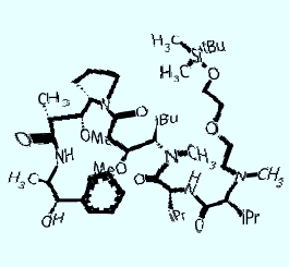 CC[C@H](C)[C@@H]([C@H](CC(=O)N1CCC[C@H]1[C@H](OC)[C@@H](C)C(=O)N[C@H](C)[C@H](O)c1ccccc1)OC)N(C)C(=O)[C@@H](NC(=O)[C@H](C(C)C)N(C)CCOCCO[Si](C)(C)C(C)(C)C)C(C)C